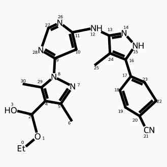 CCOC(O)c1c(C)nn(-c2cc(Nc3n[nH]c(-c4ccc(C#N)cc4)c3C)ncn2)c1C